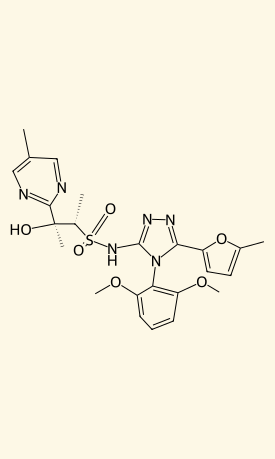 COc1cccc(OC)c1-n1c(NS(=O)(=O)[C@@H](C)[C@@](C)(O)c2ncc(C)cn2)nnc1-c1ccc(C)o1